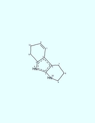 C1=Cc2c([nH]c3c2CCCN3)CC1